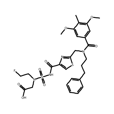 COc1cc(C(=O)N(CCCc2ccccc2)Cc2nc(C(=O)NS(=O)(=O)N(CCF)CC(=O)O)cs2)cc(OC)c1C